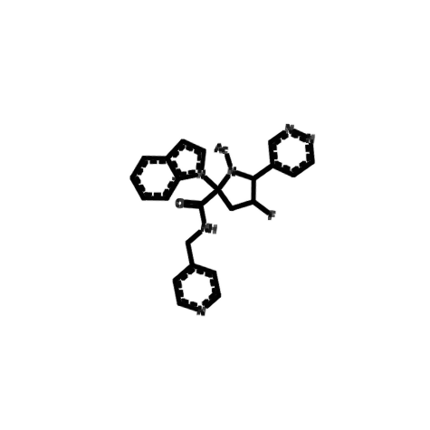 CC(=O)N1C(c2ccnnc2)C(F)CC1(C(=O)NCc1ccncc1)n1ccc2ccccc21